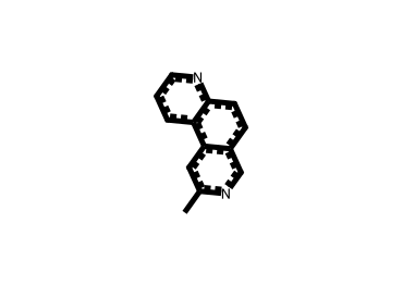 Cc1cc2c(ccc3ncccc32)cn1